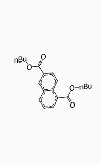 CCCCOC(=O)c1ccc2c(C(=O)OCCCC)cccc2c1